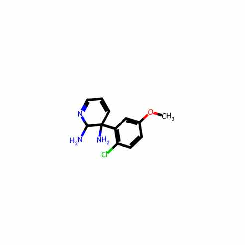 COc1ccc(Cl)c(C2(N)C=CC=NC2N)c1